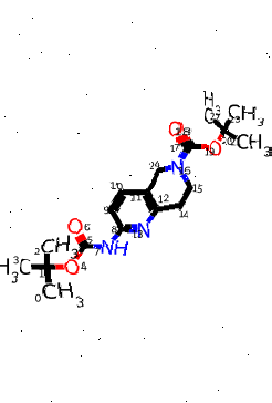 CC(C)(C)OC(=O)Nc1ccc2c(n1)CCN(C(=O)OC(C)(C)C)C2